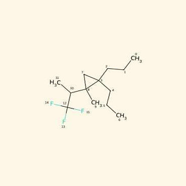 CCCC1(CCC)CC1(C)C(C)C(F)(F)F